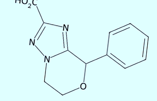 O=C(O)c1nc2n(n1)CCOC2c1ccccc1